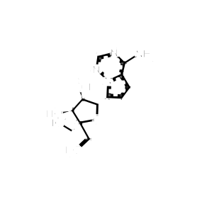 C=C[C@]1(CO)O[C@@H](c2ccc3c(N)ncnn23)[C@H](O)[C@@H]1O